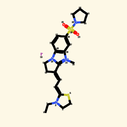 CCN1CCSC1=CC=C1CCn2c1[n+](C)c1cc(S(=O)(=O)N3CCCC3)ccc12.[I-]